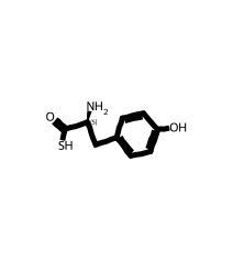 N[C@@H](Cc1ccc(O)cc1)C(=O)S